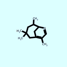 CC1=C2CC(N=C1)C(C)CC(C)(C)C2